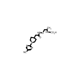 CC(CONC(=O)CC1CCN(c2ncc(C#N)cn2)CC1)NC(=O)O